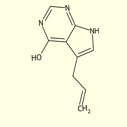 C=CCc1c[nH]c2ncnc(O)c12